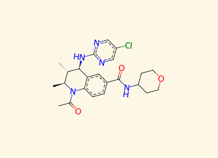 CC(=O)N1c2ccc(C(=O)NC3CCOCC3)cc2[C@H](Nc2ncc(Cl)cn2)[C@@H](C)[C@@H]1C